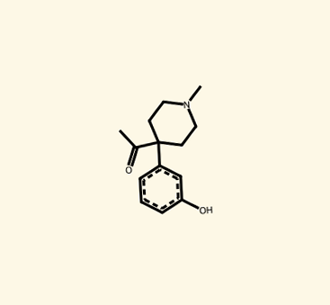 CC(=O)C1(c2cccc(O)c2)CCN(C)CC1